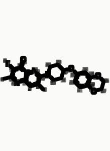 Cc1cc2nc(C)c(F)c(=O)n2nc1N1CCC(Oc2ccc3c(c2)OCCO3)CC1